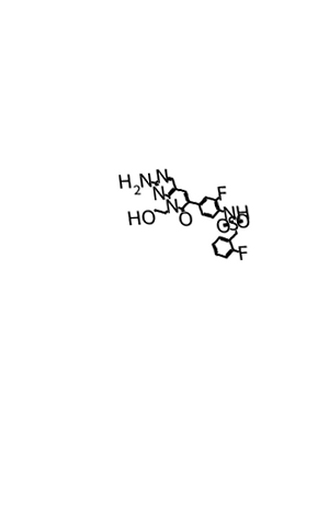 Nc1ncc2cc(-c3ccc(NS(=O)(=O)Cc4ccccc4F)c(F)c3)c(=O)n(CCO)c2n1